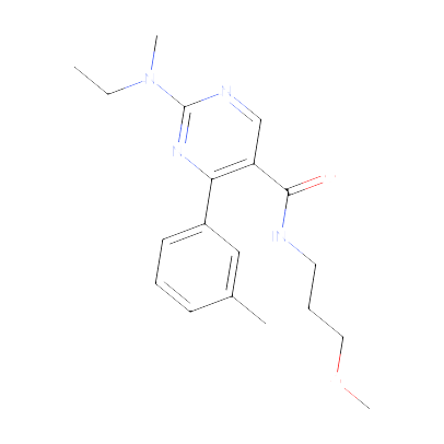 CCN(C)c1ncc(C(=O)NCCCOC)c(-c2cccc(C)c2)n1